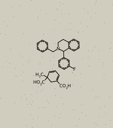 CC1(C(=O)O)C=CC=C(C(=O)O)C1.Fc1cccc(C2c3ccccc3CCN2Cc2ccccc2)c1